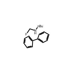 CCCCNCF.c1ccc(-c2ccccc2)cc1